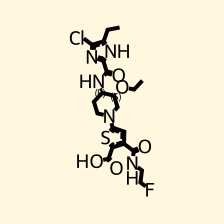 CCO[C@H]1CN(c2cc(C(=O)NCCF)c(C(=O)O)s2)CC[C@H]1NC(=O)c1nc(Cl)c(CC)[nH]1